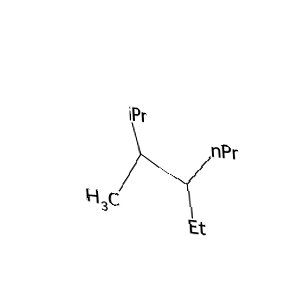 [CH2]C(C)C(C)C(CC)CCC